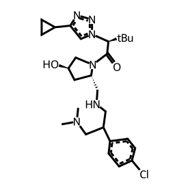 CN(C)CC(CNC[C@@H]1C[C@@H](O)CN1C(=O)[C@@H](n1cc(C2CC2)nn1)C(C)(C)C)c1ccc(Cl)cc1